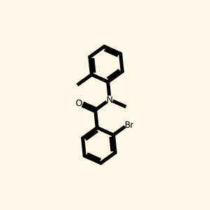 Cc1ccccc1N(C)C(=O)c1ccccc1Br